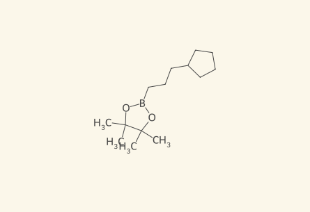 CC1(C)OB(CCCC2CCCC2)OC1(C)C